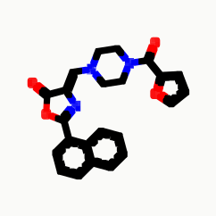 O=C1OC(c2cccc3ccccc23)=NC1=CN1CCN(C(=O)c2ccco2)CC1